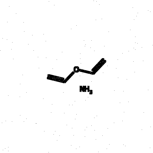 C=COC=C.N